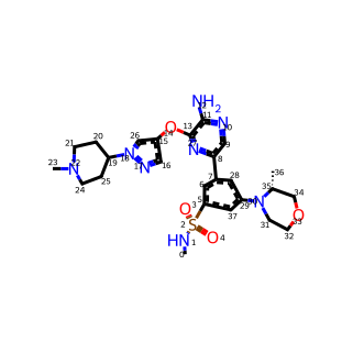 CNS(=O)(=O)c1cc(-c2cnc(N)c(Oc3cnn(C4CCN(C)CC4)c3)n2)cc(N2CCOC[C@H]2C)c1